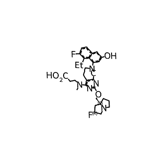 CCc1c(F)ccc2cc(O)cc(N3CCc4c(nc(OC[C@@]56CCCN5C[C@H](F)C6)nc4N(C)CCC(=O)O)C3)c12